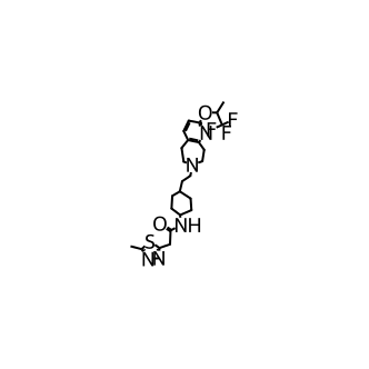 Cc1nnc(CC(=O)NC2CCC(CCN3CCc4ccc(OC(C)C(F)(F)F)nc4CC3)CC2)s1